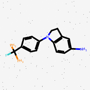 Nc1ccc2c(c1)CCN2c1ccc(C(F)(P)P)cc1